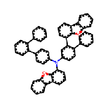 c1ccc(-c2ccccc2-c2ccc(N(c3ccc(-c4ccccc4)c(-c4cccc5c4oc4ccccc45)c3)c3cccc4c3oc3ccccc34)cc2)cc1